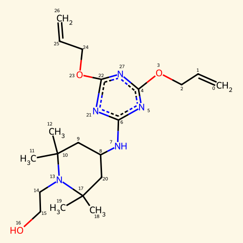 C=CCOc1nc(NC2CC(C)(C)N(CCO)C(C)(C)C2)nc(OCC=C)n1